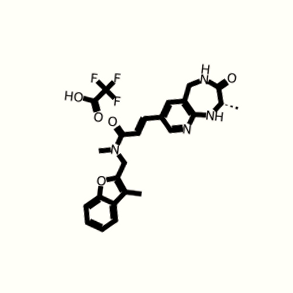 Cc1c(CN(C)C(=O)/C=C/c2cnc3c(c2)CNC(=O)[C@H](C)N3)oc2ccccc12.O=C(O)C(F)(F)F